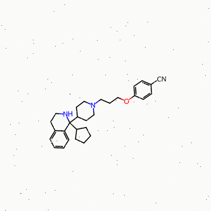 N#Cc1ccc(OCCCN2CCC(C3(C4CCCC4)NCCc4ccccc43)CC2)cc1